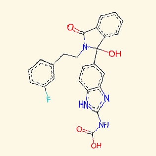 O=C(O)Nc1nc2cc(C3(O)c4ccccc4C(=O)N3CCc3cccc(F)c3)ccc2[nH]1